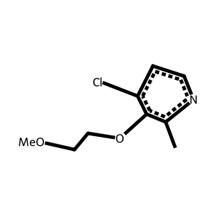 COCCOc1c(Cl)ccnc1C